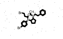 CCN(CCc1ccccc1)C1CCCC1N(C(=O)CCBr)c1ccc(Br)cc1